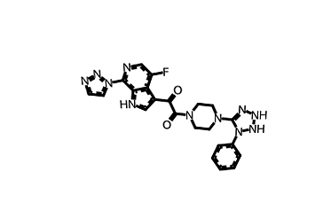 O=C(C(=O)N1CCN(C2=NNNN2c2ccccc2)CC1)c1c[nH]c2c(-n3ccnn3)ncc(F)c12